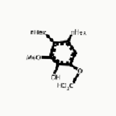 CCCCCCc1cc(OC(=O)O)c(O)c(OC)c1CCCCCC